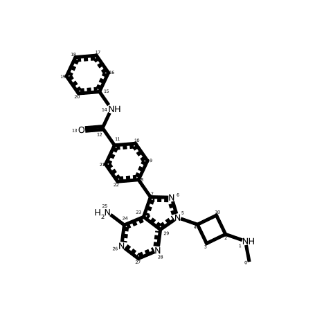 CNC1CC(n2nc(-c3ccc(C(=O)Nc4ccccc4)cc3)c3c(N)ncnc32)C1